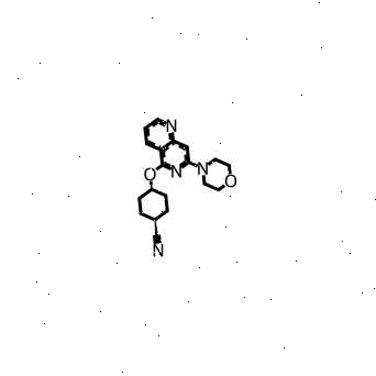 N#C[C@H]1CC[C@@H](Oc2nc(N3CCOCC3)cc3ncccc23)CC1